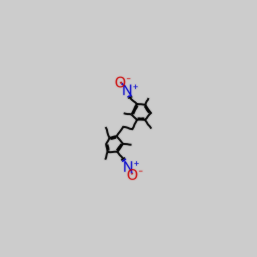 Cc1cc(C)c(CCc2c(C)cc(C)c(C#[N+][O-])c2C)c(C)c1C#[N+][O-]